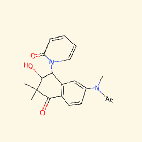 CC(=O)N(C)c1ccc2c(c1)C(n1ccccc1=O)C(O)C(C)(C)C2=O